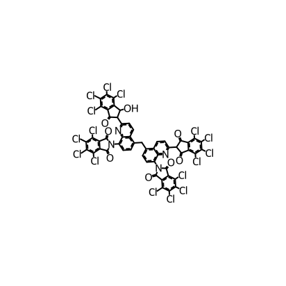 O=C1c2c(Cl)c(Cl)c(Cl)c(Cl)c2C(=O)C1c1ccc2c(Cc3ccc(N4C(=O)c5c(Cl)c(Cl)c(Cl)c(Cl)c5C4=O)c4nc(C5C(=O)c6c(Cl)c(Cl)c(Cl)c(Cl)c6C5O)ccc34)ccc(N3C(=O)c4c(Cl)c(Cl)c(Cl)c(Cl)c4C3=O)c2n1